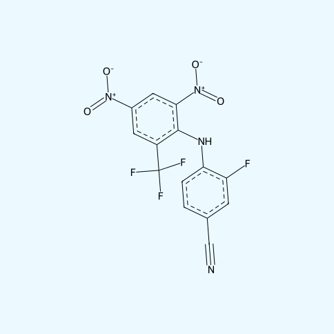 N#Cc1ccc(Nc2c([N+](=O)[O-])cc([N+](=O)[O-])cc2C(F)(F)F)c(F)c1